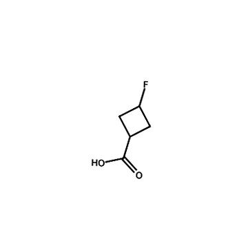 O=C(O)C1CC(F)C1